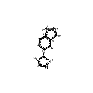 c1nnc(-c2ccc3[nH]ncc3c2)o1